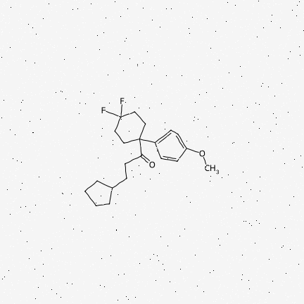 COc1ccc(C2(C(=O)CCC3CCCC3)CCC(F)(F)CC2)cc1